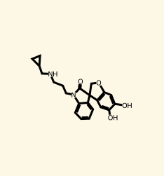 O=C1N(CCCNCC2CC2)c2ccccc2C12COc1cc(O)c(O)cc12